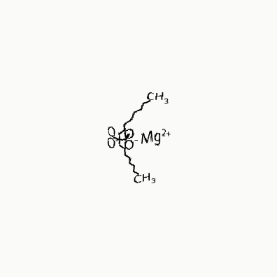 CCCCCCCCCC(CCCCCCCCC)(C(=O)[O-])C(=O)[O-].[Mg+2]